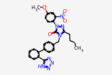 CCCCc1nn(-c2ccc(OC)cc2[N+](=O)[O-])c(=O)n1Cc1ccc(-c2ccccc2-c2nnn[nH]2)cc1